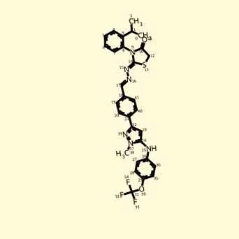 CC(C)c1ccccc1N1C(=O)CSC1=NN=Cc1ccc(-c2cc(Nc3ccc(OC(F)(F)F)cc3)n(C)n2)cc1